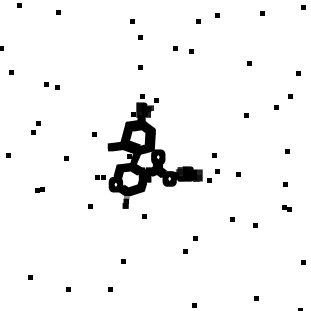 Cc1cc(Br)ccc1[C@@H]1CO[C@@H](C)CN1C(=O)OC(C)(C)C